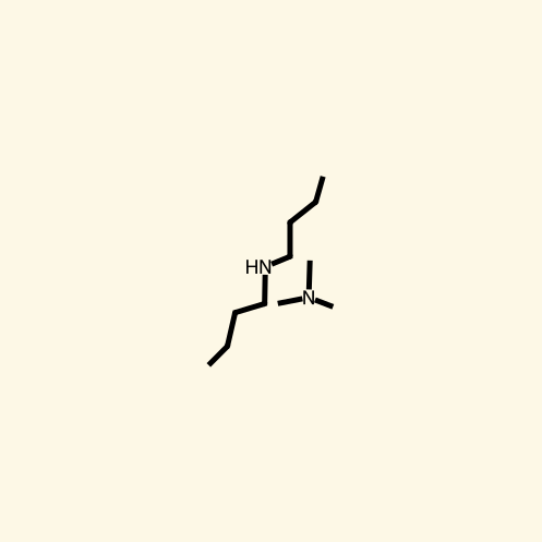 CCCCNCCCC.CN(C)C